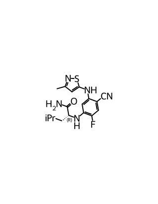 Cc1cc(Nc2cc(N[C@H](CC(C)C)C(N)=O)c(F)cc2C#N)sn1